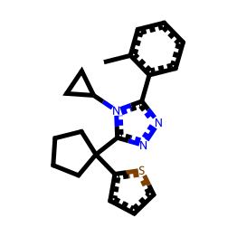 Cc1ccccc1-c1nnc(C2(c3cccs3)CCCC2)n1C1CC1